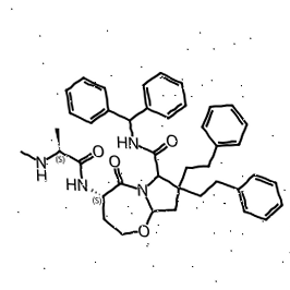 CN[C@@H](C)C(=O)N[C@H]1CCOC2CC(CCc3ccccc3)(CCc3ccccc3)C(C(=O)NC(c3ccccc3)c3ccccc3)N2C1=O